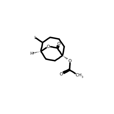 CC(=O)O[C@]12CCCC(I)[C@H](CC1)OC2=O